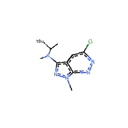 CC(N(C)c1nn(C)c2nnc(Cl)cc12)C(C)(C)C